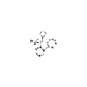 C[P]1(C2CCC2)c2ccccc2-c2ccccc21